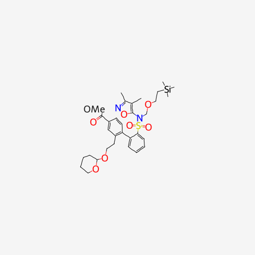 COC(=O)c1ccc(-c2ccccc2S(=O)(=O)N(COCC[Si](C)(C)C)c2onc(C)c2C)c(CCOC2CCCCO2)c1